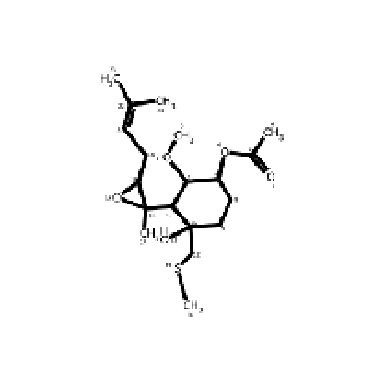 COC1C(OC(C)=O)CCC(O)(CSC)C1C1(C)OC1CC=C(C)C